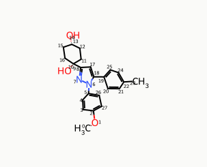 COc1ccc(-n2nc([C@]3(O)CC[C@@H](O)CC3)cc2-c2ccc(C)cc2)cc1